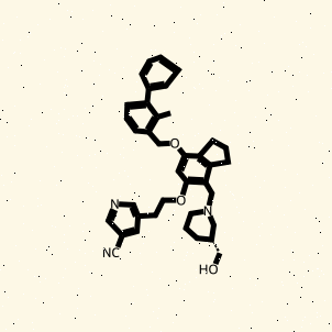 Cc1c(COc2cc(OCCc3cncc(C#N)c3)c(CN3CCC[C@@H](CO)C3)c3c2CCC3)cccc1-c1ccccc1